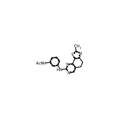 CC(=O)Nc1cccc(Nc2ncc3c(n2)-c2sc(C)nc2CC3)c1